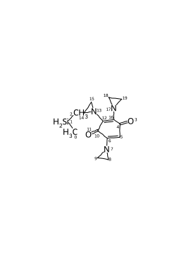 C[SiH2]C.O=C1C=C(N2CC2)C(=O)C(N2CC2)=C1N1CC1